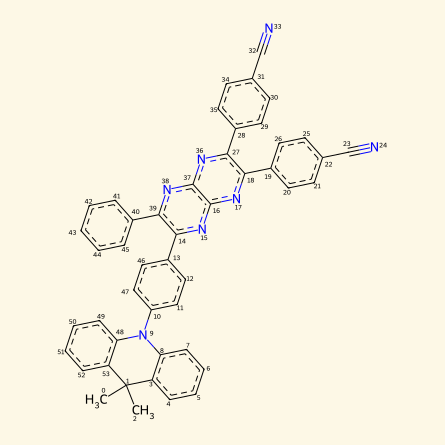 CC1(C)c2ccccc2N(c2ccc(-c3nc4nc(-c5ccc(C#N)cc5)c(-c5ccc(C#N)cc5)nc4nc3-c3ccccc3)cc2)c2ccccc21